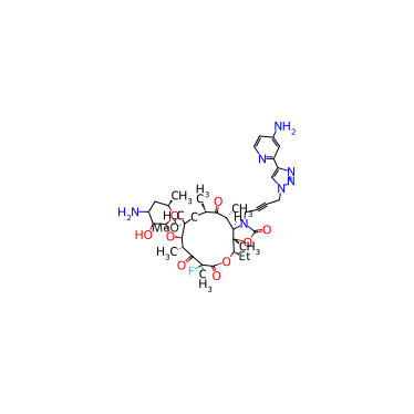 CC[C@H]1OC(=O)[C@@](C)(F)C(=O)[C@H](C)[C@@H](O[C@@H]2O[C@H](C)CC(N)C2O)[C@](C)(OC)C[C@@H](C)C(=O)[C@H](C)[C@H]2N(CC#CCn3cc(-c4cc(N)ccn4)nn3)C(=O)O[C@]12C